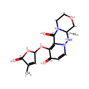 CC1=CC(Oc2c3n(ccc2=O)N[C@@H]2COCCN2C3=O)OC1=O